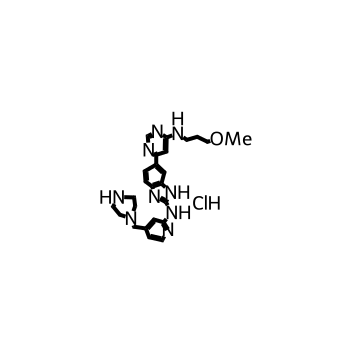 COCCCNc1cc(-c2ccc3nc(Nc4cc(CN5CCNCC5)ccn4)[nH]c3c2)ncn1.Cl